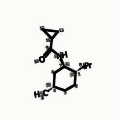 CC(C)[C@@H]1CC[C@H](C)C[C@H]1NC(=O)C1CC1